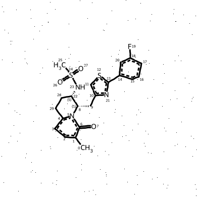 Cc1ccc2n(c1=O)[C@@H](Cc1csc(-c3cccc(F)c3)n1)[C@@H](NS(C)(=O)=O)CC2